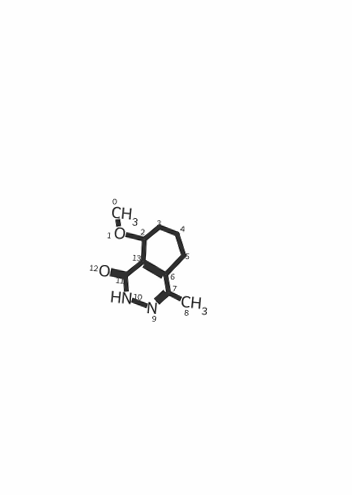 COC1CCCc2c(C)n[nH]c(=O)c21